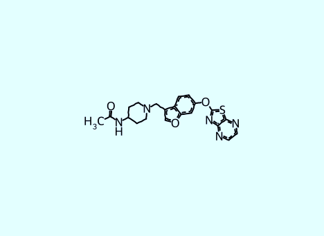 CC(=O)NC1CCN(Cc2coc3cc(Oc4nc5nccnc5s4)ccc23)CC1